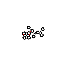 CCc1ccccc1C1(c2cccc(-c3cccc(N(c4ccc(-c5ccccc5)cc4)c4ccc5c(c4)c4ccccc4n5-c4ccccc4)c3)c2CC)c2ccccc2-c2ccccc21